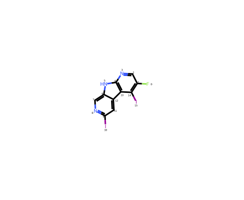 Fc1cnc2[nH]c3cnc(I)cc3c2c1I